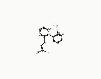 FC(F)=CCc1cccc(F)c1-c1ccccc1F